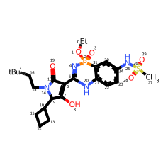 CCOP1(=O)N=C(C2=C(O)C(C3CCC3)N(CCC(C)(C)C)C2=O)Nc2ccc(NS(C)(=O)=O)cc21